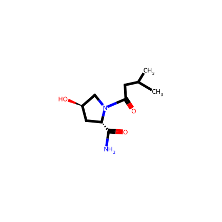 CC(C)CC(=O)N1C[C@H](O)C[C@H]1C(N)=O